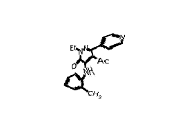 CCn1nc(-c2ccncc2)c(C(C)=O)c(Nc2ccccc2C)c1=O